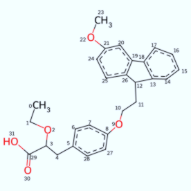 CCOC(Cc1ccc(OCCC2c3ccccc3-c3cc(OC)ccc32)cc1)C(=O)O